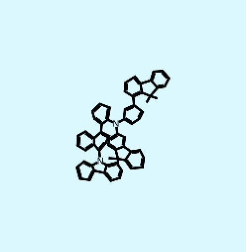 CC1(C)c2ccccc2-c2cc(N(c3cccc(-c4cccc5c4C(C)(C)c4ccccc4-5)c3)c3ccccc3-c3ccc(-n4c5ccccc5c5ccccc54)c4ccccc34)ccc21